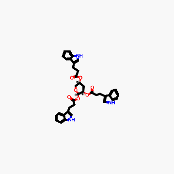 O=C(CCc1c[nH]c2ccccc12)O[C@@H]1CO[C@H](OC(=O)CCc2c[nH]c3ccccc23)[C@H](OC(=O)CCc2c[nH]c3ccccc23)C1